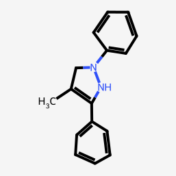 CC1=C(c2ccccc2)NN(c2ccccc2)C1